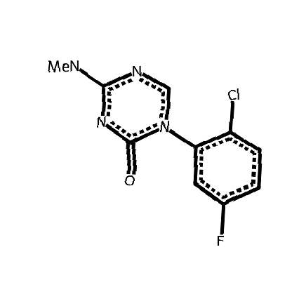 CNc1ncn(-c2cc(F)ccc2Cl)c(=O)n1